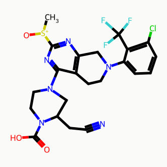 C[S+]([O-])c1nc2c(c(N3CCN(C(=O)O)C(CC#N)C3)n1)CCN(c1cccc(Cl)c1C(F)(F)F)C2